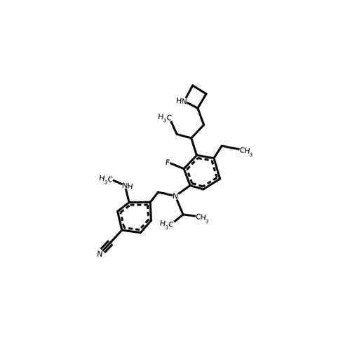 CCc1ccc(N(Cc2ccc(C#N)cc2NC)C(C)C)c(F)c1C(CC)CC1CCN1